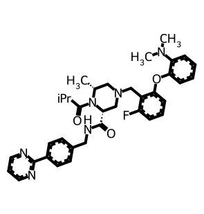 CC(C)C(=O)N1[C@H](C)CN(Cc2c(F)cccc2Oc2ccccc2N(C)C)C[C@@H]1C(=O)NCc1ccc(-c2ncccn2)cc1